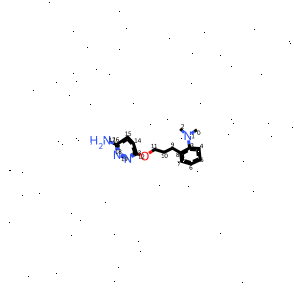 CN(C)c1ccccc1CCCOc1ccc(N)nn1